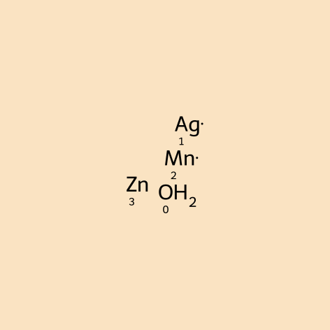 O.[Ag].[Mn].[Zn]